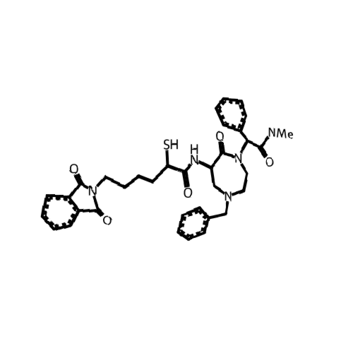 CNC(=O)C(c1ccccc1)N1CCN(Cc2ccccc2)CC(NC(=O)C(S)CCCCN2C(=O)c3ccccc3C2=O)C1=O